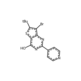 CC(C)(C)c1sc2c(O)nc(-c3ccncc3)nc2c1Br